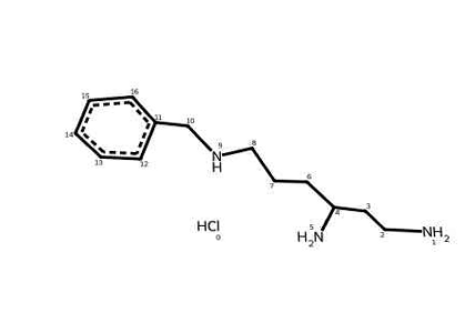 Cl.NCCC(N)CCCNCc1ccccc1